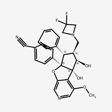 COc1cncc2c1[C@]1(O)[C@H](O)[C@H](CN3CC(F)(F)C3)[C@@H](c3ccccc3)[C@]1(c1ccc(C#N)cc1)O2